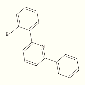 Brc1ccccc1-c1cccc(-c2ccccc2)n1